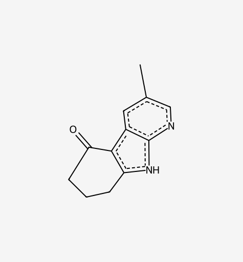 Cc1cnc2[nH]c3c(c2c1)C(=O)CCC3